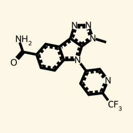 Cn1nnc2c3cc(C(N)=O)ccc3n(-c3ccc(C(F)(F)F)nc3)c21